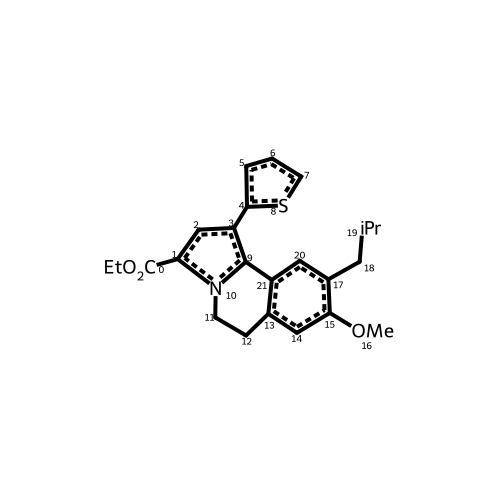 CCOC(=O)c1cc(-c2cccs2)c2n1CCc1cc(OC)c(CC(C)C)cc1-2